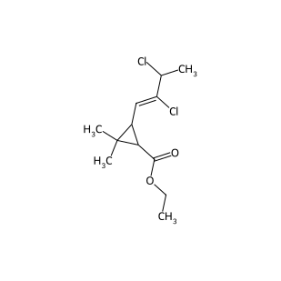 CCOC(=O)C1C(C=C(Cl)C(C)Cl)C1(C)C